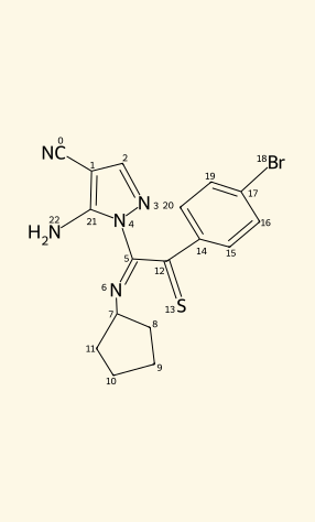 N#Cc1cnn(/C(=N/C2CCCC2)C(=S)c2ccc(Br)cc2)c1N